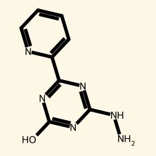 NNc1nc(O)nc(-c2ccccn2)n1